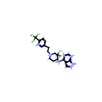 FC(F)(F)c1ccc(CCN2CCC(Nc3ncnc4[nH]ncc34)C(F)(F)C2)cn1